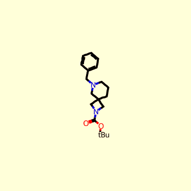 CC(C)(C)OC(=O)N1CC2(CCCN(Cc3ccccc3)C2)C1